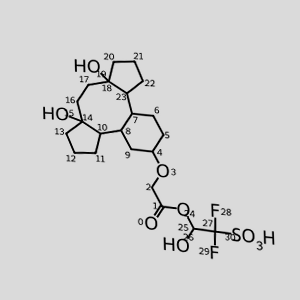 O=C(COC1CCC2C(C1)C1CCCC1(O)CCC1(O)CCCC21)OC(O)C(F)(F)S(=O)(=O)O